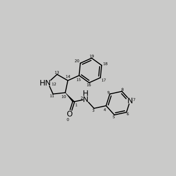 O=C(NCc1ccncc1)[C@H]1CNCC1c1ccccc1